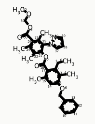 CCc1c(C)c(OCc2ccccc2)cc(C)c1C(=O)Oc1c(C)c(C)c(C(=O)OCOC)c(C)c1-n1cccn1